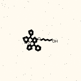 Nc1c(C(c2ccccc2)c2ccccc2)cc(OCCCCCCO)cc1C(c1ccccc1)c1ccccc1